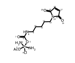 CC(=O)OP(N)(N)(Cl)OC(=O)NCCCCCN1C(=O)C=CC1=O